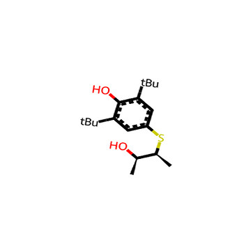 C[C@H](Sc1cc(C(C)(C)C)c(O)c(C(C)(C)C)c1)[C@@H](C)O